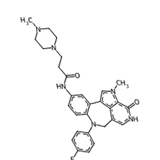 CN1CCN(CCC(=O)Nc2ccc3c(c2)-c2cn(C)c4c(=O)[nH]cc(c24)CN3c2ccc(F)cc2)CC1